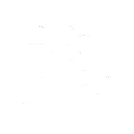 COc1ccc2c(c1OC)CC[n+]1c-2cc2c(-c3ccc(-c4ccccc4)cc3)c(OC)c(OC)cc2c1N(C)C